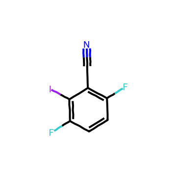 N#Cc1c(F)ccc(F)c1I